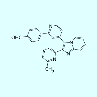 Cc1cccc(-c2nc3ccccn3c2-c2ccnc(-c3ccc(C=O)cc3)c2)n1